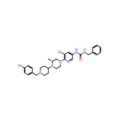 C[C@H]1CN(c2ncc(NC(=O)NCc3ccccc3)cc2Cl)CCN1C1CCN(Cc2ccc(Cl)cc2)CC1